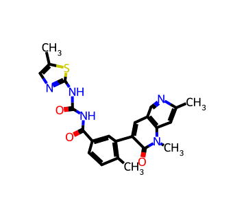 Cc1cc2c(cn1)cc(-c1cc(C(=O)NC(=O)Nc3ncc(C)s3)ccc1C)c(=O)n2C